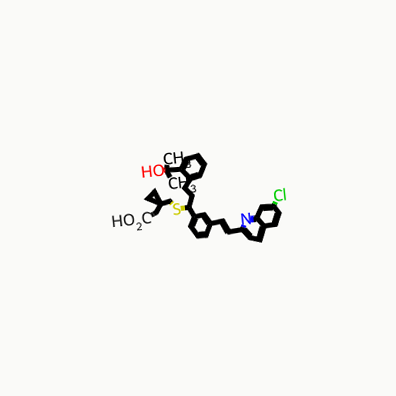 CC(C)(O)c1ccccc1CCC(SCC1(CC(=O)O)CC1)c1cccc(C=Cc2ccc3ccc(Cl)cc3n2)c1